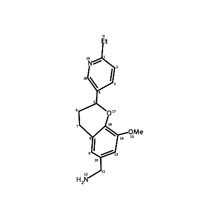 CCc1ccc(C2CCc3cc(CN)cc(OC)c3O2)cn1